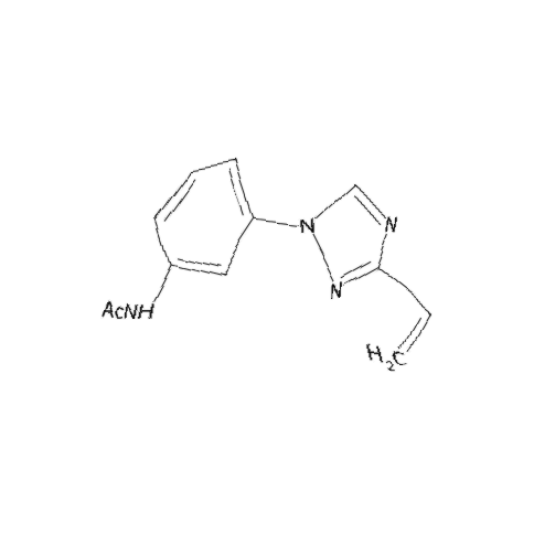 C=Cc1ncn(-c2cccc(NC(C)=O)c2)n1